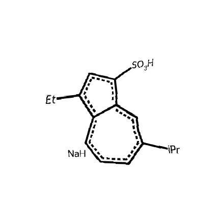 CCc1cc(S(=O)(=O)O)c2cc(C(C)C)cccc1-2.[NaH]